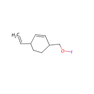 C=CC1C=CC(COI)CC1